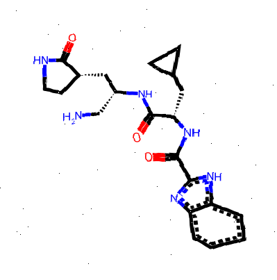 NC[C@H](C[C@@H]1CCNC1=O)NC(=O)[C@H](CC1CC1)NC(=O)c1nc2ccccc2[nH]1